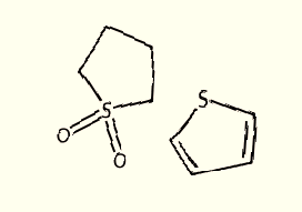 O=S1(=O)CCCC1.c1ccsc1